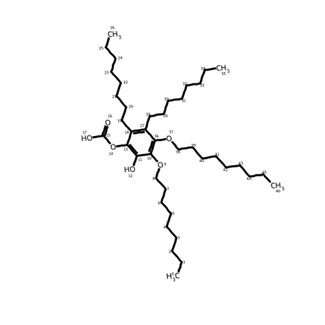 CCCCCCCCCOc1c(O)c(OC(=O)O)c(CCCCCCCC)c(CCCCCCCC)c1OCCCCCCCCC